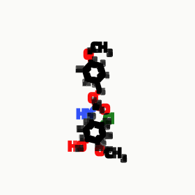 COc1ccc(COC(=O)Nc2cc(O)c(OC)cc2Cl)cc1